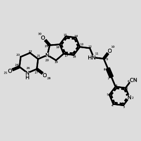 N#Cc1ncccc1C#CC(=O)NCc1ccc2c(c1)CN(C1CCC(=O)NC1=O)C2=O